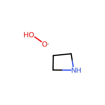 C1CNC1.[O]O